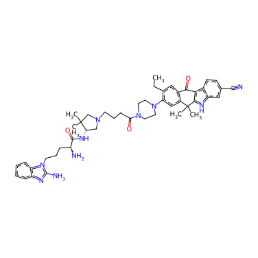 CCc1cc2c(cc1N1CCN(C(=O)CCCN3C[C@H](NC(=O)[C@@H](N)CCCn4c(N)nc5ccccc54)C(C)(C)C3)CC1)C(C)(C)c1[nH]c3cc(C#N)ccc3c1C2=O